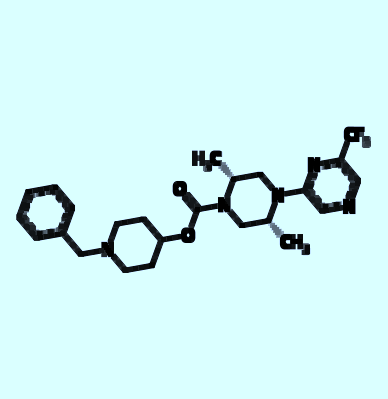 C[C@@H]1CN(c2cncc(C(F)(F)F)n2)[C@H](C)CN1C(=O)OC1CCN(Cc2ccccc2)CC1